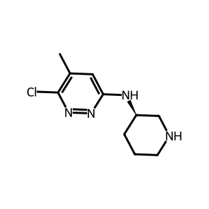 Cc1cc(N[C@@H]2CCCNC2)nnc1Cl